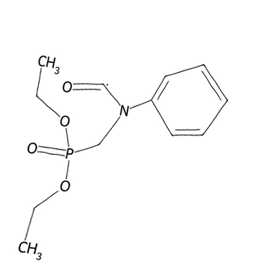 CCOP(=O)(CN([C]=O)c1ccccc1)OCC